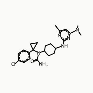 Cc1cc(N(C)C)nc(NC2CCC(N(C(N)=O)C3(c4ccc(Cl)cc4)CC3)CC2)n1